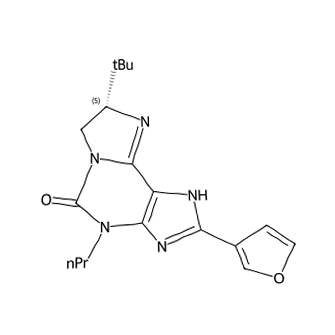 CCCN1C(=O)N2C[C@H](C(C)(C)C)N=C2c2[nH]c(-c3ccoc3)nc21